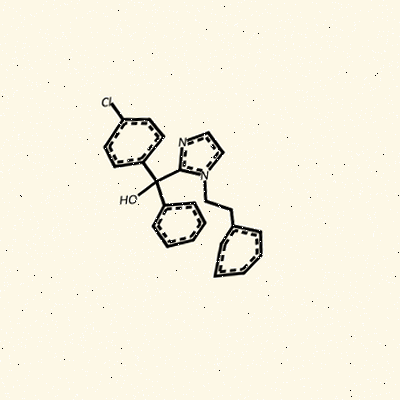 OC(c1ccccc1)(c1ccc(Cl)cc1)c1nccn1CCc1ccccc1